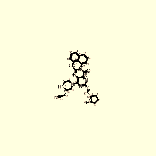 Cc1nc2c(N3CCN[C@@H](CC#N)C3)nc(OC[C@@H]3CCCN3C)nc2c(=O)n1-c1cccc2cccc(Cl)c12